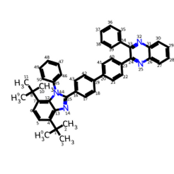 CC(C)(C)c1ccc(C(C)(C)C)c2c1nc(-c1ccc(-c3ccc(-c4nc5ccccc5nc4-c4ccccc4)cc3)cc1)n2-c1ccccc1